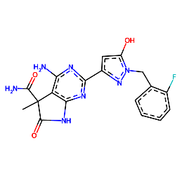 CC1(C(N)=O)C(=O)Nc2nc(-c3cc(O)n(Cc4ccccc4F)n3)nc(N)c21